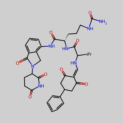 CC(C)C(NC=C1C(=O)CC(c2ccccc2)CC1=O)C(=O)N[C@@H](CCCNC(N)=O)C(=O)Nc1cccc2c1CN(C1CCC(=O)NC1=O)C2=O